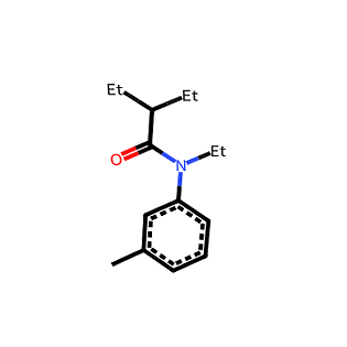 CCC(CC)C(=O)N(CC)c1cccc(C)c1